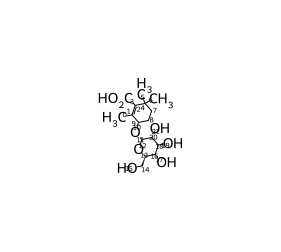 CC1=C(C(=O)O)C(C)(C)CC[C@H]1O[C@@H]1O[C@H](CO)[C@@H](O)[C@H](O)[C@H]1O